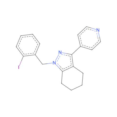 Ic1ccccc1Cn1nc(-c2ccncc2)c2c1CCCC2